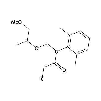 COCC(C)OCN(C(=O)CCl)c1c(C)cccc1C